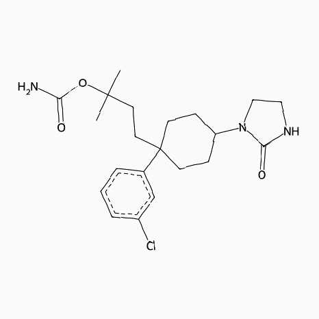 CC(C)(CCC1(c2cccc(Cl)c2)CCC(N2CCNC2=O)CC1)OC(N)=O